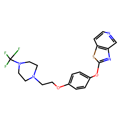 FC(F)(F)N1CCN(CCOc2ccc(Oc3nc4cnccc4s3)cc2)CC1